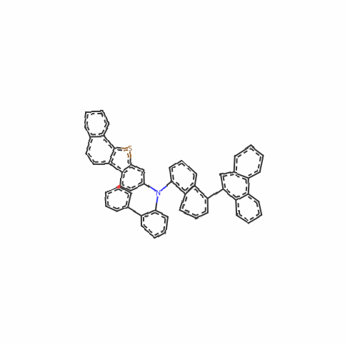 c1ccc(-c2ccccc2N(c2ccc3c(c2)sc2c4ccccc4ccc32)c2cccc3c(-c4cc5ccccc5c5ccccc45)cccc23)cc1